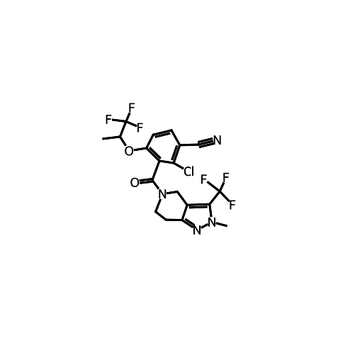 CC(Oc1ccc(C#N)c(Cl)c1C(=O)N1CCc2nn(C)c(C(F)(F)F)c2C1)C(F)(F)F